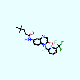 C[C@@H](c1cccc(C(F)(F)F)n1)n1c(=O)cnc2cc(NC(=O)CCC(C)(C)C)ccc21